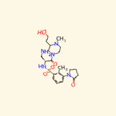 Cc1c(N2CCCC2=O)cccc1S(=O)(=O)N[C@@H](CN)C(=O)N1CCN(C)C(CCO)C1